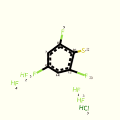 Cl.F.F.F.F.Fc1cc(F)c([S])c(F)c1